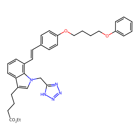 CCOC(=O)CCCc1cn(Cc2nnn[nH]2)c2c(/C=C/c3ccc(OCCCCOc4ccccc4)cc3)cccc12